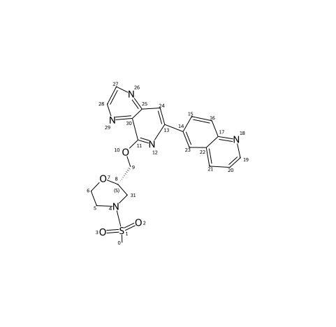 CS(=O)(=O)N1CCO[C@H](COc2nc(-c3ccc4ncccc4c3)cc3nccnc23)C1